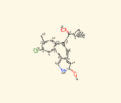 COC(=O)c1cc2c(c3cc(Cl)c(C)cc13)=C[N]C(=O)C=2